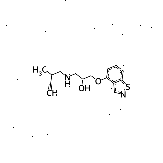 C#CC(C)CNCC(O)COc1cccc2sncc12